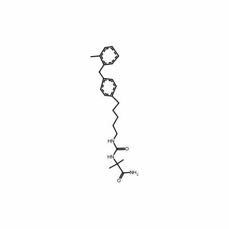 Cc1ccccc1Cc1ccc(CCCCCNC(=O)NC(C)(C)C(N)=O)cc1